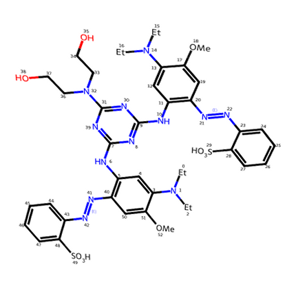 CCN(CC)c1cc(Nc2nc(Nc3cc(N(CC)CC)c(OC)cc3/N=N/c3ccccc3S(=O)(=O)O)nc(N(CCO)CCO)n2)c(/N=N/c2ccccc2S(=O)(=O)O)cc1OC